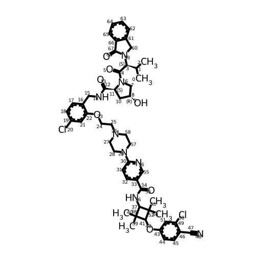 CC(C)[C@@H](C(=O)N1C[C@H](O)C[C@H]1C(=O)NCc1ccc(Cl)cc1OCCN1CCN(c2ccc(C(=O)NC3C(C)(C)C(Oc4ccc(C#N)c(Cl)c4)C3(C)C)cn2)CC1)N1Cc2ccccc2C1=O